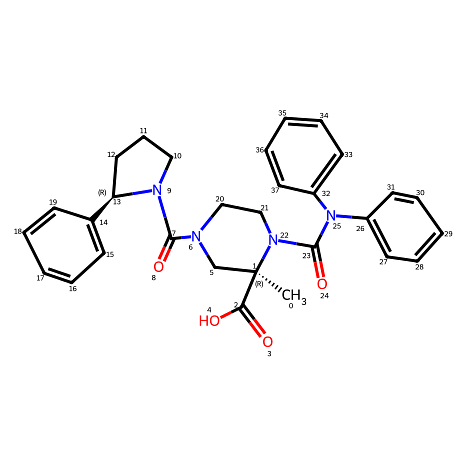 C[C@]1(C(=O)O)CN(C(=O)N2CCC[C@@H]2c2ccccc2)CCN1C(=O)N(c1ccccc1)c1ccccc1